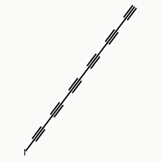 C#CC#CC#CC#CC#CC#CI